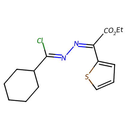 CCOC(=O)C(=NN=C(Cl)C1CCCCC1)c1cccs1